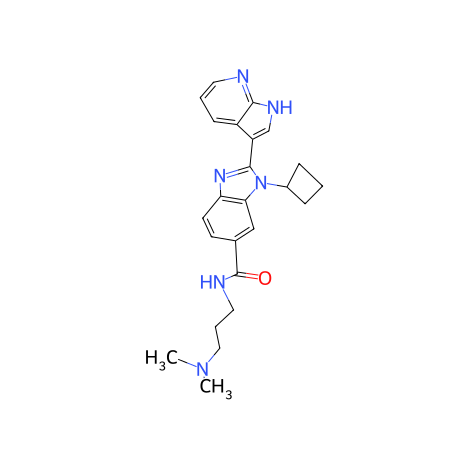 CN(C)CCCNC(=O)c1ccc2nc(-c3c[nH]c4ncccc34)n(C3CCC3)c2c1